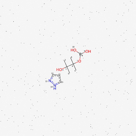 CC(C)(O)C(C)(C)OB(O)O.c1cn[nH]c1